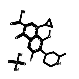 COc1c(N2CCNC(C)C2)c(F)cc2c(=O)c(C(=O)O)cn(C3CC3)c12.O=S(=O)(O)O